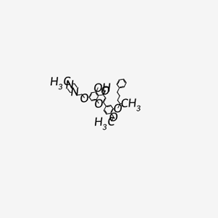 COc1ccc(-c2cc(=O)c3c(O)cc(OCCN4CCN(C)CC4)cc3o2)cc1OC(C)CCCc1ccccc1